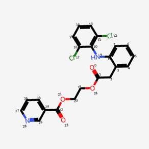 O=C(Cc1ccccc1Nc1c(Cl)cccc1Cl)OCCOC(=O)c1cccnc1